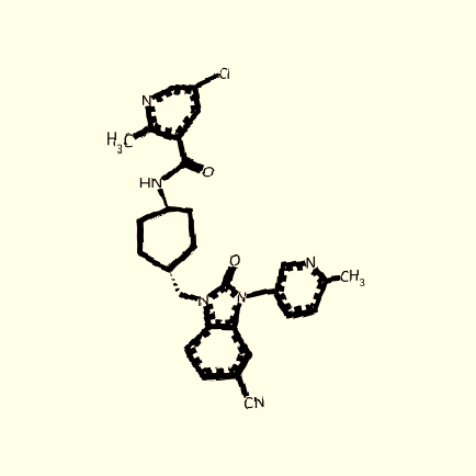 Cc1ccc(-n2c(=O)n(C[C@H]3CC[C@H](NC(=O)c4cc(Cl)cnc4C)CC3)c3ccc(C#N)cc32)cn1